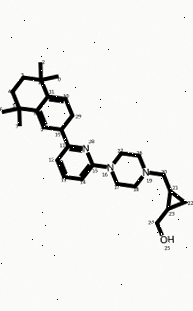 CC1(C)CCC(C)(C)C2=CC(c3cccc(N4CCN(CC5CC5CO)CC4)n3)CC=C21